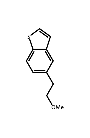 COCCc1ccc2sccc2c1